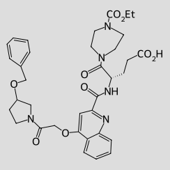 CCOC(=O)N1CCN(C(=O)[C@H](CCC(=O)O)NC(=O)c2cc(OCC(=O)N3CCC(OCc4ccccc4)C3)c3ccccc3n2)CC1